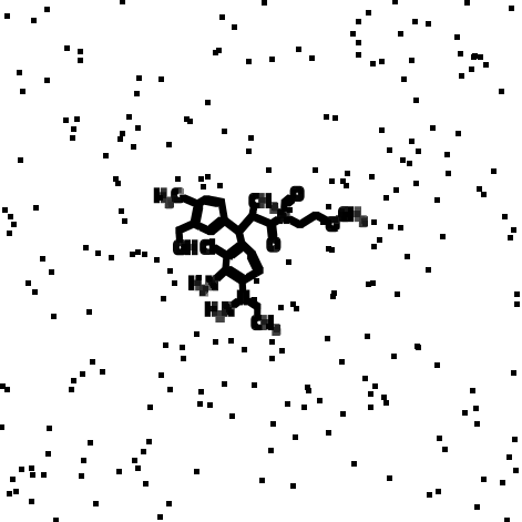 CCN(N)c1ccc(C(c2ccc(C)c(CO)c2)C(C)C(=O)N(C=O)CCOC)c(Cl)c1N